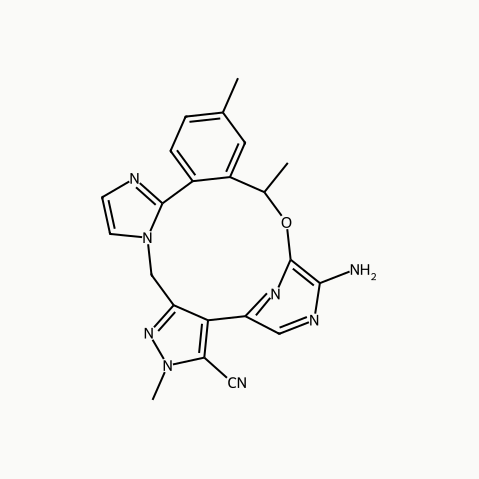 Cc1ccc2c(c1)C(C)Oc1nc(cnc1N)-c1c(nn(C)c1C#N)Cn1ccnc1-2